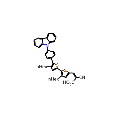 CCCCCCc1cc(-c2sc(/C=C(/C#N)C(=O)O)cc2CCCCCC)sc1-c1ccc(-n2c3ccccc3c3ccccc32)cc1